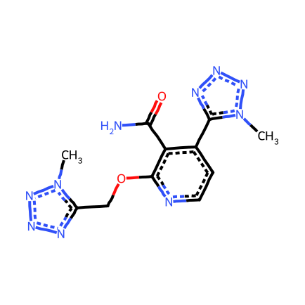 Cn1nnnc1COc1nccc(-c2nnnn2C)c1C(N)=O